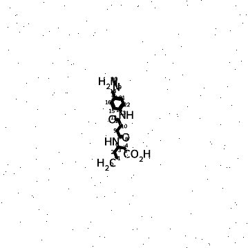 C=CCC(CC(=O)O)NC(=O)CCC(=O)Nc1ccc(C=NN)cc1